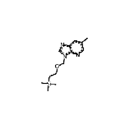 Cc1cnc2c(c1)ncn2COCC[Si](C)(C)C